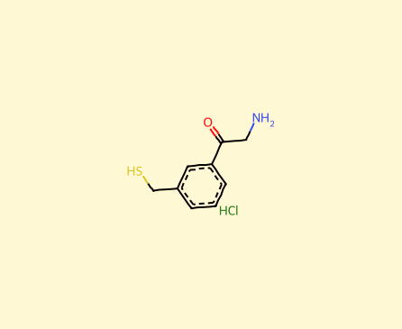 Cl.NCC(=O)c1cccc(CS)c1